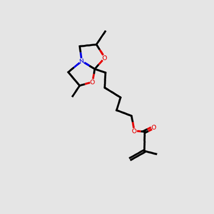 C=C(C)C(=O)OCCCCCC12OC(C)CN1CC(C)O2